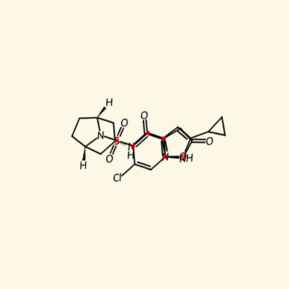 O=C1Cc2cc(S(=O)(=O)N3[C@@H]4CC[C@H]3C[C@@H](NC(=O)c3cc(C5CC5)on3)C4)c(Cl)cc2N1